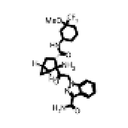 COC1(C(F)(F)F)CCCC(NC(=O)[C@H]2C[C@H]3C[C@H]3C2(N)C(=O)Cn2nc(C(N)=O)c3ccccc32)C1